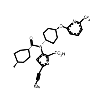 CC(C)(C)C#Cc1cc(N(C(=O)[C@H]2CC[C@H](C)CC2)[C@H]2CC[C@H](Oc3cccc(C(F)(F)F)n3)CC2)c(C(=O)O)s1